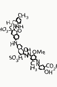 COc1cc(/N=N/c2ccc(O)c(C(=O)O)c2)c(C)cc1N/N=C1\C(=O)C2C=CC(Nc3ccc4c(c3)C=C(S(=O)(=O)O)/C(=N/Nc3ccc(C)cc3C)C4=O)=CC2C=C1S(=O)(=O)O